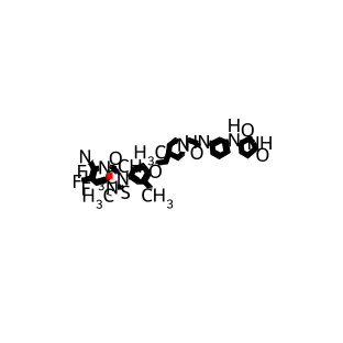 CCc1cc(N(C(=S)N(C)c2cnc(C#N)c(C(F)(F)F)c2)C(C)(C)C=O)ccc1OCCC1(C)CCN(CC(=O)Nc2cccc(NC3CCC(=O)NC3=O)c2)CC1